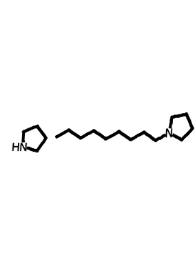 C1CCNC1.CCCCCCCCCN1CCCC1